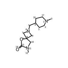 CN1CCC(CN2CC3(C2)CN(C)C(=O)O3)CC1